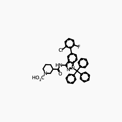 O=C(Nc1nn(C(c2ccccc2)(c2ccccc2)c2ccccc2)c2ccc(-c3c(F)cccc3Cl)cc12)C1CCCN(C(=O)O)C1